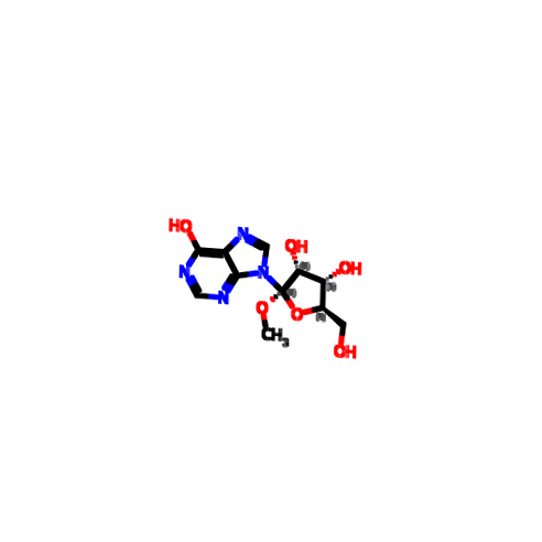 CO[C@@]1(n2cnc3c(O)ncnc32)O[C@H](CO)[C@@H](O)[C@H]1O